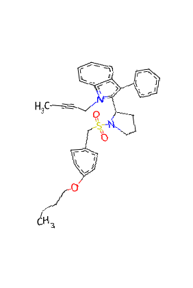 CC#CCn1c(C2CCCN2S(=O)(=O)Cc2ccc(OCCCC)cc2)c(-c2ccccc2)c2ccccc21